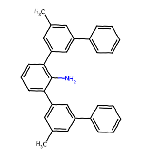 Cc1cc(-c2ccccc2)cc(-c2cccc(-c3cc(C)cc(-c4ccccc4)c3)c2N)c1